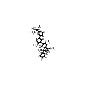 BC(B)(OC(/C=C(/C)N(C=O)c1cc(-c2ccnc(C(C)(C)O)n2)ncc1C)=C(/C)Cl)c1ncc(F)cc1F